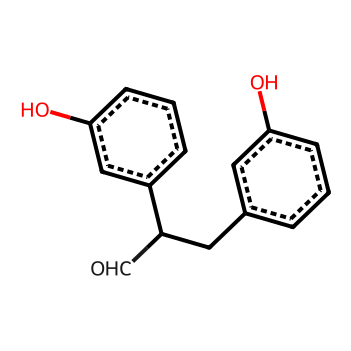 O=CC(Cc1cccc(O)c1)c1cccc(O)c1